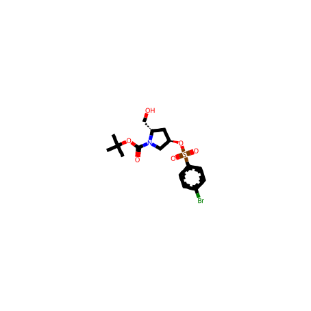 CC(C)(C)OC(=O)N1C[C@H](OS(=O)(=O)c2ccc(Br)cc2)C[C@H]1CO